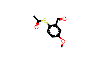 COc1ccc(SC(C)=O)c(C=O)c1